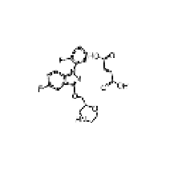 Fc1ccc2c(c1)c(OC[C@@H]1CNCCO1)nn2-c1ccccc1F.O=C(O)C=CC(=O)O